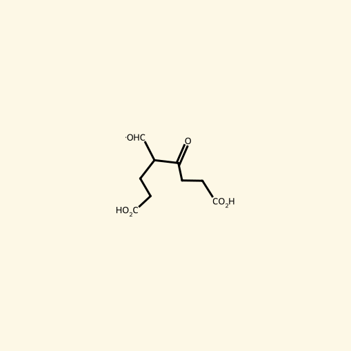 O=[C]C(CCC(=O)O)C(=O)CCC(=O)O